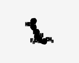 CC1CCCN(c2nc(C(F)(F)F)c(C(=O)Nc3ccc(N4CCC(C(O)c5ccccc5)CC4)nc3)o2)C1